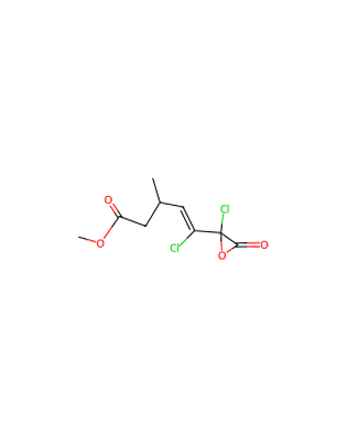 COC(=O)CC(C)C=C(Cl)C1(Cl)OC1=O